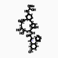 COC(O)Nc1ccc2c(c1)NC(=O)CC(O)[C@H](O)C[C@H](NC(=O)/C=C/c1cc(Cl)ccc1-n1cnnn1)c1nc-2c[nH]1